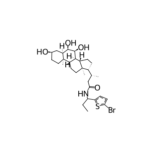 CCC(NC(=O)C[C@@H](C)[C@H]1CC[C@H]2[C@@H]3[C@H](O)[C@H](O)[C@@H]4C[C@H](O)CC[C@]4(C)[C@H]3CC[C@]12C)c1ccc(Br)s1